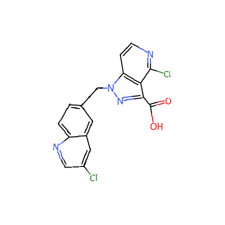 O=C(O)c1nn(Cc2ccc3ncc(Cl)cc3c2)c2ccnc(Cl)c12